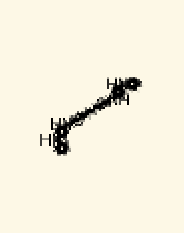 c1ccc(Nc2ccc(NCCOCCCCCCOCCNc3ccc(Nc4ccccc4)cc3)cc2)cc1